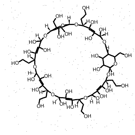 OCC[C@H]1O[C@H]2OC(CO)[C@@H](O[C@@H](O)/C(O)=C(\O)[C@@H](CCO)O[C@H]3OC(CO)[C@@H](O[C@@H](O)/C(O)=C(\O)[C@@H](CCO)O[C@H](O)/C(O)=C(\O)[C@@H](CCO)O[C@H](O)/C(O)=C(\O)[C@@H](CCO)O[C@H](O)/C(O)=C\1O)C(O)C3O)C(O)C2O